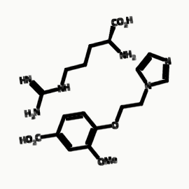 COc1cc(C(=O)O)ccc1OCCn1ccnc1.N=C(N)NCCC[C@H](N)C(=O)O